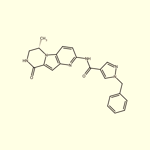 C[C@H]1CNC(=O)c2cc3nc(NC(=O)c4cnn(Cc5ccccc5)c4)ccc3n21